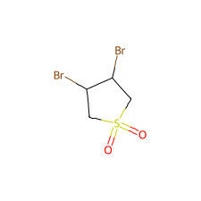 O=S1(=O)CC(Br)C(Br)C1